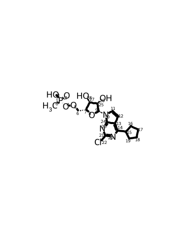 CP(=O)(O)OOC[C@H]1O[C@@H](n2ccc3c(C4CCCC4)nc(Cl)nc32)[C@H](O)[C@@H]1O